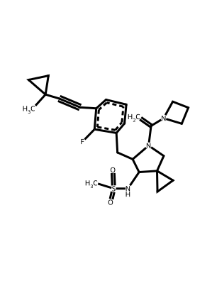 C=C(N1CCC1)N1CC2(CC2)C(NS(C)(=O)=O)C1Cc1cccc(C#CC2(C)CC2)c1F